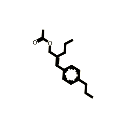 CCC/C(=C\c1ccc(CCC)cc1)COC(C)=O